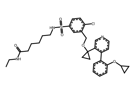 CCNC(=O)CCCCCNS(=O)(=O)c1ccc(Cl)c(COC2(c3cnccc3-c3ccccc3OC3CC3)CC2)c1